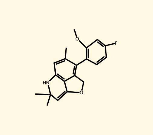 COc1cc(F)ccc1-c1c(C)cc2c3c1COC3=CC(C)(C)N2